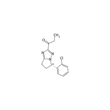 CCC(=O)c1nc2n(n1)[C@H](c1ccccc1Cl)CC2